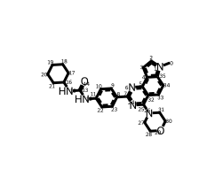 Cn1ccc2c3nc(-c4ccc(NC(=O)NC5CCCCC5)cc4)nc(N4CCOCC4)c3ccc21